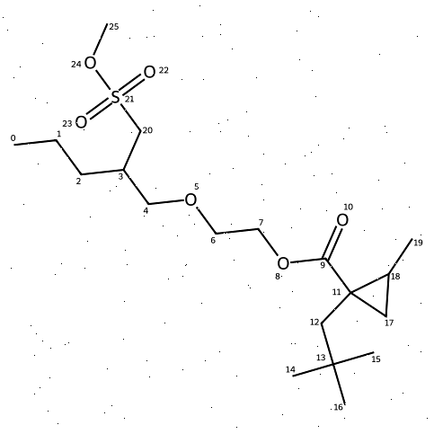 CCCC(COCCOC(=O)C1(CC(C)(C)C)CC1C)CS(=O)(=O)OC